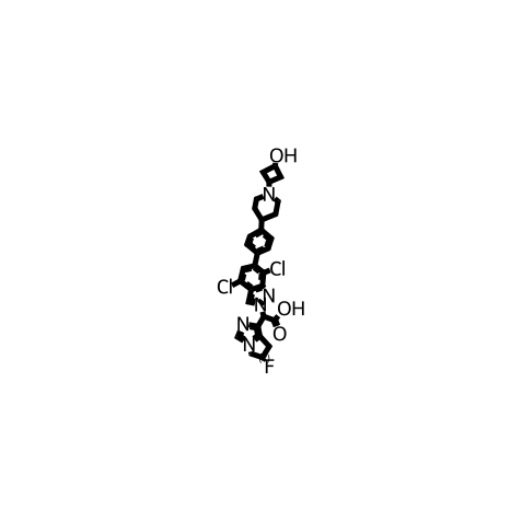 O=C(O)C(c1ncn2c1C[C@@H](F)C2)n1cc2c(Cl)cc(-c3ccc(C4CCN(C5CC(O)C5)CC4)cc3)c(Cl)c2n1